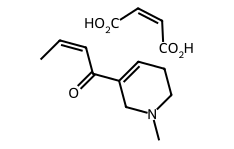 C/C=C\C(=O)C1=CCCN(C)C1.O=C(O)/C=C\C(=O)O